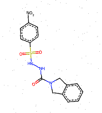 O=C(NNS(=O)(=O)c1ccc([N+](=O)[O-])cc1)N1Cc2ccccc2C1